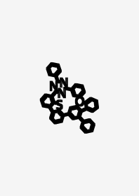 c1ccc(-c2nc(-c3ccccc3)nc(-c3cccc4c3sc3c(-c5cc(-c6ccccc6)c6c(c5)oc5ccccc56)cccc34)n2)cc1